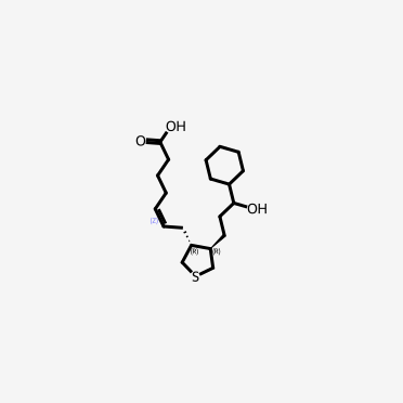 O=C(O)CCC/C=C\C[C@H]1CSC[C@@H]1CCC(O)C1CCCCC1